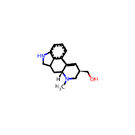 CN1C[C@H](CO)C=C2c3cccc4c3C(CN4)C[C@H]21